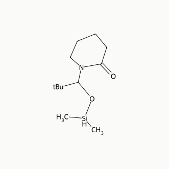 C[SiH](C)OC(N1CCCCC1=O)C(C)(C)C